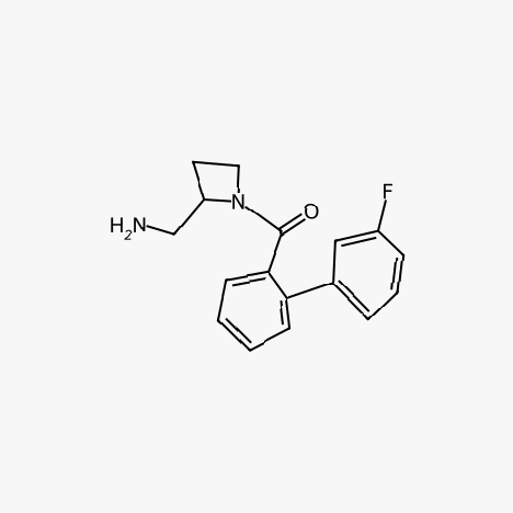 NCC1CCN1C(=O)c1ccccc1-c1cccc(F)c1